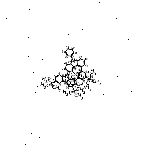 CCc1c(-n2c3ccc(C(C)(C)C)cc3c3cc(C(C)(C)C)ccc32)ccc2c1c1c(-c3cc(C(C)(C)C)cc(C(C)(C)C)c3)cccc1n2-c1ccccc1